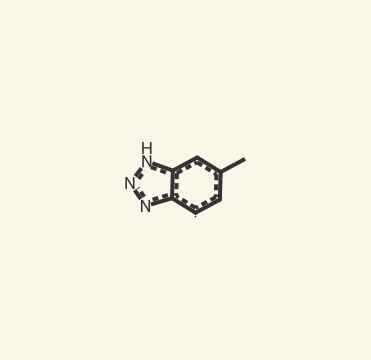 Cc1c[c]c2nn[nH]c2c1